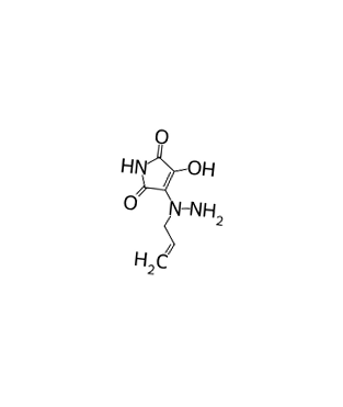 C=CCN(N)C1=C(O)C(=O)NC1=O